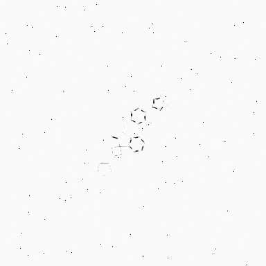 Cn1cc(-c2cc(F)c(CN3C(=O)C4(CN(C5CCCC5)C4)c4ccccc43)cc2F)cn1